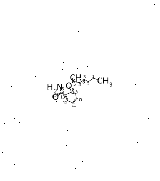 CCCCC[C@H](C)Oc1ccccc1C(N)=O